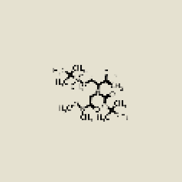 C=C(C)C(CO[Si](C)(C)C(C)(C)C)N(CC(=O)N(C)OC)C(=O)OC(C)(C)C